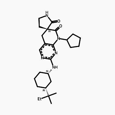 CCC(C)(C)[C@@H]1CCC[C@H](Nc2ncc3c(n2)N(C2CCCC2)C(=O)[C@]2(CCNC2=O)C3)C1